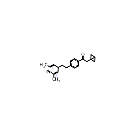 C/C=C/C(/C=C(/C)C(C)C)CCc1ccc(C(=O)CC23CC2C3)cc1